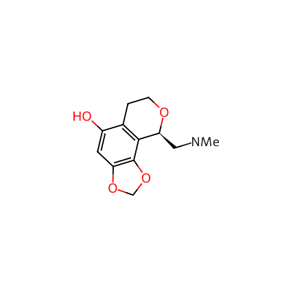 CNC[C@@H]1OCCc2c(O)cc3c(c21)OCO3